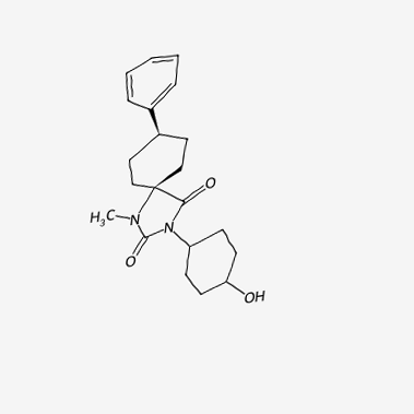 CN1C(=O)N(C2CCC(O)CC2)C(=O)[C@]12CC[C@H](c1ccccc1)CC2